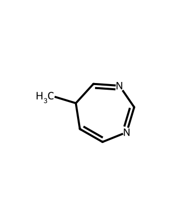 CC1C=CN=CN=C1